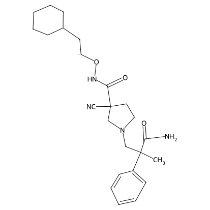 CC(CN1CCC(C#N)(C(=O)NO[CH]CC2CCCCC2)C1)(C(N)=O)c1ccccc1